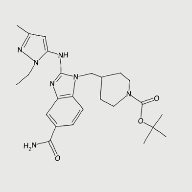 CCn1nc(C)cc1Nc1nc2cc(C(N)=O)ccc2n1CC1CCN(C(=O)OC(C)(C)C)CC1